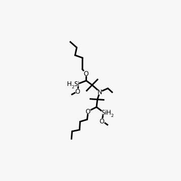 CCCCCOC([SiH2]OC)C(C)(C)N(CC)C(C)(C)C(OCCCCC)[SiH2]OC